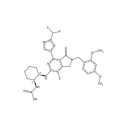 COc1ccc(CN2Cc3c(F)c(N[C@@H]4CCCC[C@@H]4NC(=O)O)nc(-c4cnn(C(F)F)c4)c3C2=O)c(OC)c1